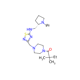 CCC(C)(C)C(=O)N1CCN(Cc2nsc(NC[C@@H]3CCCN3C(C)C)n2)CC1